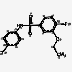 CCOc1cc(S(=O)(=O)Nc2ccc(Cl)cc2)ccc1F